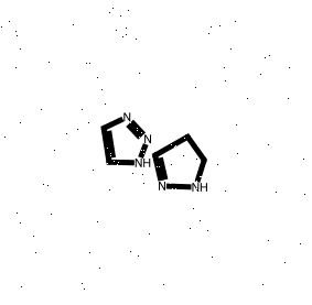 C1=NNCC1.c1c[nH]nn1